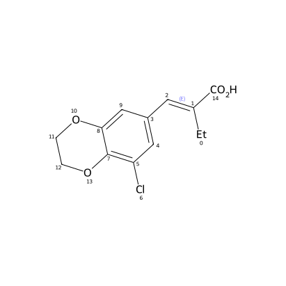 CC/C(=C\c1cc(Cl)c2c(c1)OCCO2)C(=O)O